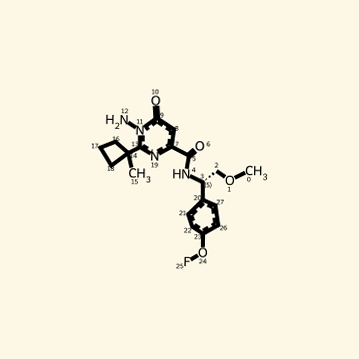 COC[C@@H](NC(=O)c1cc(=O)n(N)c(C2(C)CCC2)n1)c1ccc(OF)cc1